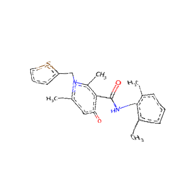 Cc1cccc(C)c1NC(=O)c1c(C)n(Cc2cccs2)c(C)cc1=O